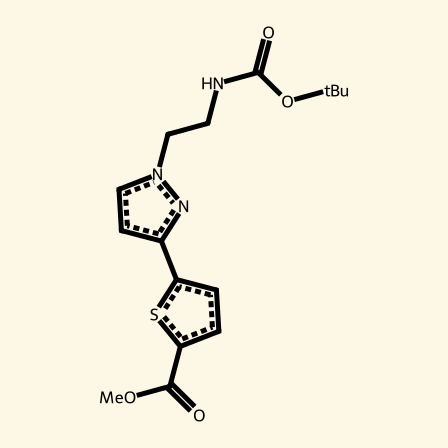 COC(=O)c1ccc(-c2ccn(CCNC(=O)OC(C)(C)C)n2)s1